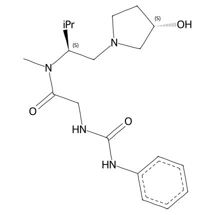 CC(C)[C@@H](CN1CC[C@H](O)C1)N(C)C(=O)CNC(=O)Nc1ccccc1